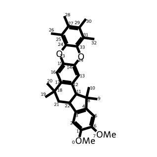 COc1cc2c(cc1OC)C(C)(C)C1c3cc4c(cc3C(C)(C)CC21)Oc1c(C)c(C)c(C)c(C)c1O4